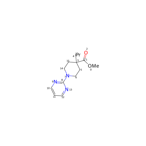 COC(=O)C1(C(C)C)CCN(c2ncccn2)CC1